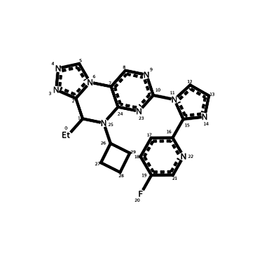 CCC1c2nncn2-c2cnc(-n3ccnc3-c3ccc(F)cn3)nc2N1C1CCC1